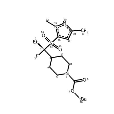 CC[C@](F)(C1CCN(C(=O)OC(C)(C)C)CC1)S(=O)(=O)c1cc(C(F)(F)F)nn1C